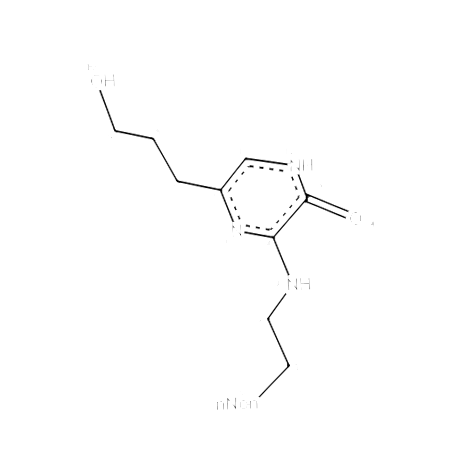 CCCCCCCCCCCNc1nc(CCCO)c[nH]c1=O